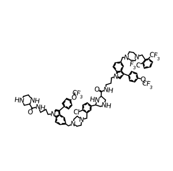 O=C(NCCCn1cc(-c2ccc(OC(F)(F)F)cc2)c2cc(CN3CCN(Cc4cc(C5CNCC(C(=O)NCCCn6cc(-c7ccc(OC(F)(F)F)cc7)c7cc(CN8CCN(Cc9c(C(F)(F)F)cccc9C(F)(F)F)CC8)ccc76)N5)ccc4Cl)CC3)ccc21)C1CNCCN1